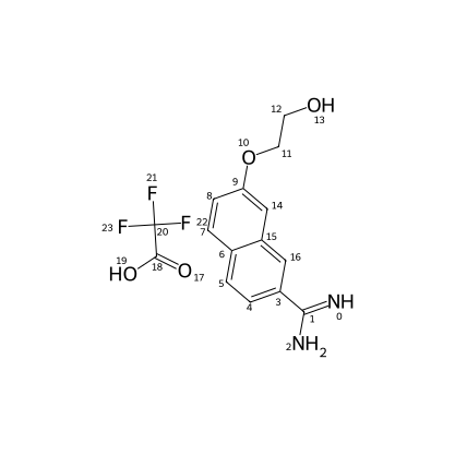 N=C(N)c1ccc2ccc(OCCO)cc2c1.O=C(O)C(F)(F)F